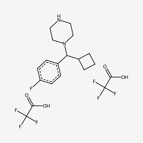 Fc1ccc(C(C2CCC2)N2CCNCC2)cc1.O=C(O)C(F)(F)F.O=C(O)C(F)(F)F